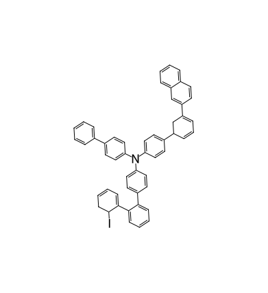 IC1CC=CC=C1c1ccccc1-c1ccc(N(c2ccc(-c3ccccc3)cc2)c2ccc(C3C=CC=C(c4ccc5ccccc5c4)C3)cc2)cc1